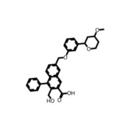 COC1CCOC(c2cccc(OCc3ccc4c(-c5ccccc5)c(CO)c(C(=O)O)cc4c3)c2)C1